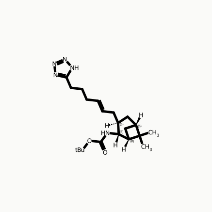 CC(C)(C)OC(=O)N[C@@H]1[C@@H](CC=CCCCc2nnn[nH]2)C[C@H]2C[C@@H]1C2(C)C